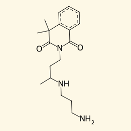 CC(CCN1C(=O)c2ccccc2C(C)(C)C1=O)NCCCN